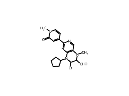 CCC1C(C=O)N(C)c2cnc(-c3ccn(C)c(=O)c3)nc2N1C1CCCC1